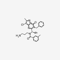 Cc1cccc(C(=O)N(CCCN)[C@@H](c2nc3c(Cl)c(C)nn3c(=O)n2Cc2ccccc2)C(C)C)c1